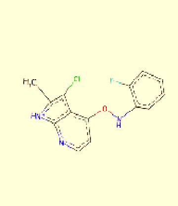 Cc1[nH]c2nccc(ONc3ccccc3F)c2c1Cl